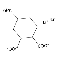 CCCC1CCC(C(=O)[O-])C(C(=O)[O-])C1.[Li+].[Li+]